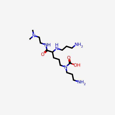 CN(C)CCNC(=O)C(CCCN(CCCN)C(=O)O)NCCCN